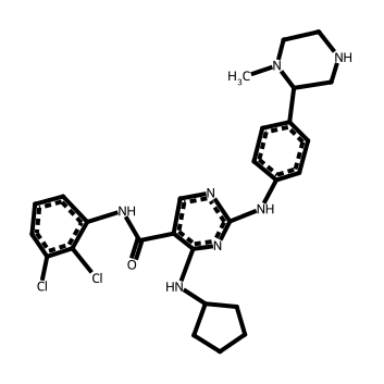 CN1CCNCC1c1ccc(Nc2ncc(C(=O)Nc3cccc(Cl)c3Cl)c(NC3CCCC3)n2)cc1